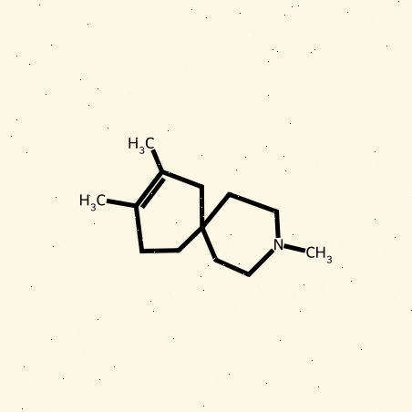 CC1=C(C)CC2(CC1)CCN(C)CC2